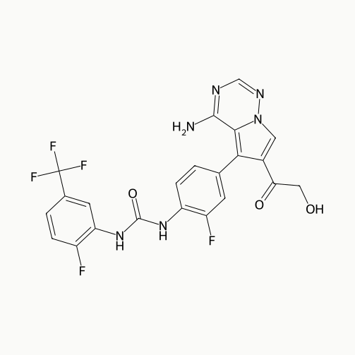 Nc1ncnn2cc(C(=O)CO)c(-c3ccc(NC(=O)Nc4cc(C(F)(F)F)ccc4F)c(F)c3)c12